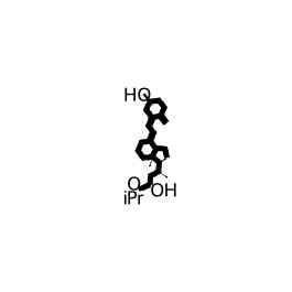 C=C1CC[C@H](O)C/C1=C/C=C1CCC[C@@]2(C)C1CC[C@@H]2[C@H](C)CC(O)C(=O)C(C)C